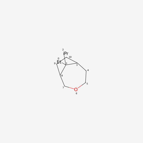 CCC1(C(C)C)C2CCOCC1CC2